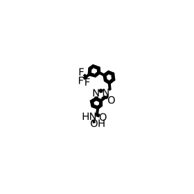 O=C(NO)c1ccc2ncn(Cc3cccc(-c4cccc(C(F)(F)F)c4)c3)c(=O)c2c1